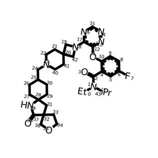 CCN(C(=O)c1cc(F)ccc1Oc1nncnc1N1CC2(CCN(CC3CCC4(CC3)CC3(CCOC3)C(=O)N4)CC2)C1)C(C)C